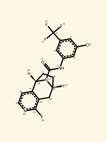 O=C(Nc1cc(Cl)cc(C(F)(F)F)c1)N1[C@@H]2CC[C@H]1c1ccnc(F)c1C2